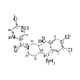 N[C@@H](c1cc(Cl)c(Cl)cc1O)C1CCN(C(=O)c2c[nH]c(=O)cn2)CC1